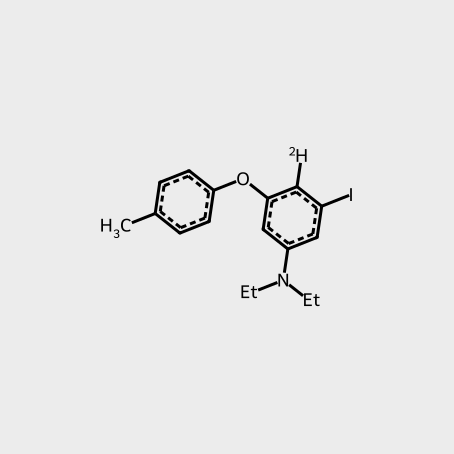 [2H]c1c(I)cc(N(CC)CC)cc1Oc1ccc(C)cc1